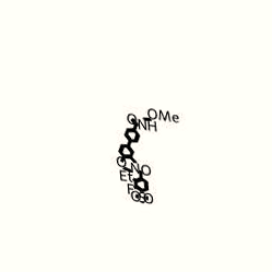 CCc1c(C(=O)N2CCOc3ccc(-c4ccc(C(=O)NCCOC)cc4)cc3C2)ccc(S(C)(=O)=O)c1F